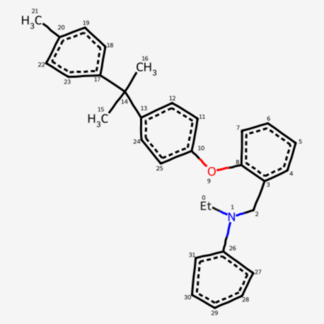 CCN(Cc1ccccc1Oc1ccc(C(C)(C)c2ccc(C)cc2)cc1)c1ccccc1